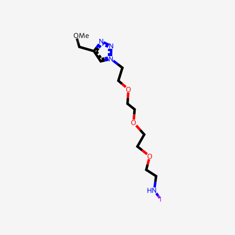 COCc1cn(CCOCCOCCOCCNI)nn1